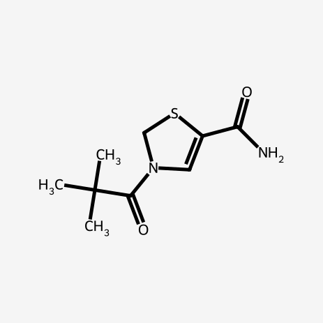 CC(C)(C)C(=O)N1C=C(C(N)=O)SC1